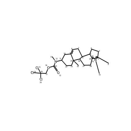 CC1C2CCC3C4CC=C5CC(N(C)C(=O)OCC(Cl)(Cl)Cl)CCC5(C)C4CCC32CN1C